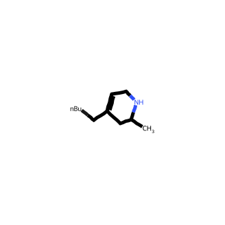 CCCCCC1=CCNC(C)C1